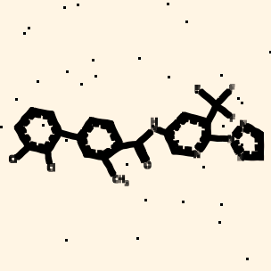 Cc1cc(-c2cccc(Cl)c2Cl)ccc1C(=O)Nc1cnc(-n2nccn2)c(C(F)(F)F)c1